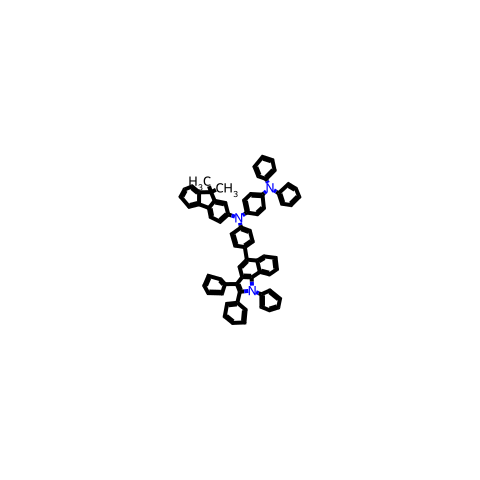 CC1(C)c2ccccc2-c2ccc(N(c3ccc(-c4cc5c(-c6ccccc6)c(-c6ccccc6)n(-c6ccccc6)c5c5ccccc45)cc3)c3ccc(N(c4ccccc4)c4ccccc4)cc3)cc21